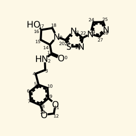 O=C(NCCc1ccc2c(c1)OCO2)C1C[C@@H](O)CN1c1nc(-n2ccnc2)ns1